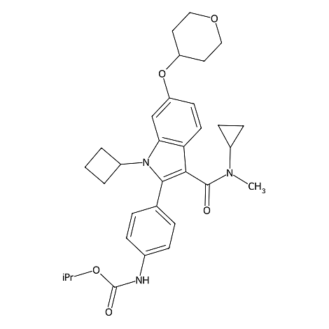 CC(C)OC(=O)Nc1ccc(-c2c(C(=O)N(C)C3CC3)c3ccc(OC4CCOCC4)cc3n2C2CCC2)cc1